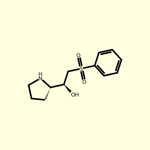 O=S(=O)(C[C@@H](O)[C@@H]1CCCN1)c1ccccc1